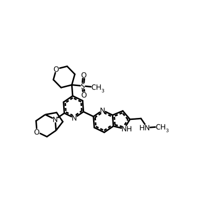 CNCc1cc2nc(-c3cc(C4(S(C)(=O)=O)CCOCC4)cc(N4C5CCC4COC5)n3)ccc2[nH]1